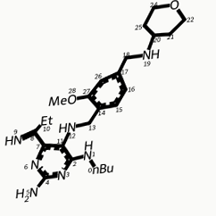 CCCCNc1nc(N)nc(C(=N)CC)c1NCc1ccc(CNC2CCOCC2)cc1OC